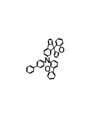 c1ccc(-c2ccc(N(c3ccc4c(c3)C3(c5ccccc5Oc5ccccc53)c3ccccc3-4)c3cccc4c3oc3ccccc34)cc2)cc1